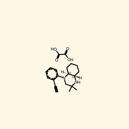 C#Cc1ccccc1N1CC(C)(C)N[C@H]2CCCC[C@@H]21.O=C(O)C(=O)O